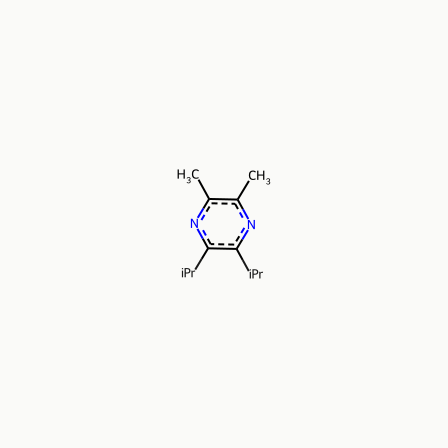 Cc1nc(C(C)C)c(C(C)C)nc1C